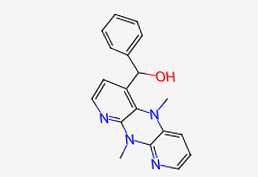 CN1c2ncccc2N(C)c2c(C(O)c3ccccc3)ccnc21